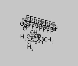 CCC(=O)C[S+](C)C(C)(C)C.O=S(=O)([O-])C(F)(F)C(F)(F)C(F)(F)C(F)(F)C(F)(F)C(F)(F)C(F)(F)C(F)(F)F